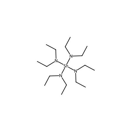 CC[N](CC)[Sn]([N](CC)CC)([N](CC)CC)[N](CC)CC